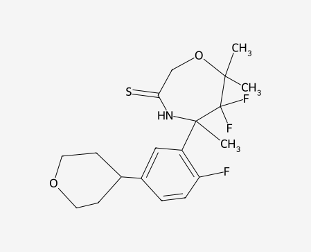 CC1(C)OCC(=S)NC(C)(c2cc(C3CCOCC3)ccc2F)C1(F)F